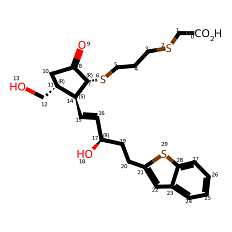 O=C(O)CSCCCS[C@H]1C(=O)C[C@@H](CO)[C@@H]1C=C[C@H](O)CCc1cc2ccccc2s1